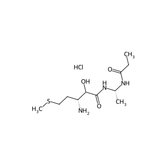 CCC(=O)N[C@H](C)NC(=O)C(O)[C@H](N)CCSC.Cl